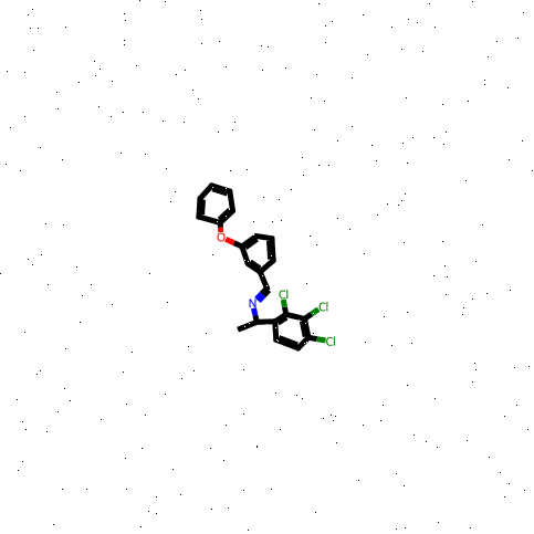 CC(/N=C/c1cccc(Oc2ccccc2)c1)c1ccc(Cl)c(Cl)c1Cl